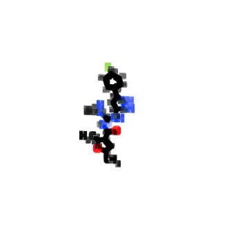 CCC(C)N/C(=N/C(=O)C1=CC(C)OC1C)NC1CC(c2ccc(F)cc2)NN1